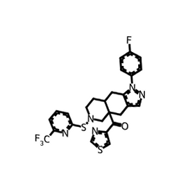 O=C(c1cscn1)C12Cc3cnn(-c4ccc(F)cc4)c3CC1CCN(Sc1cccc(C(F)(F)F)n1)C2